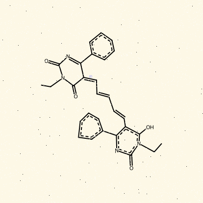 CCN1C(=O)N=C(c2ccccc2)/C(=C/C=CC=Cc2c(-c3ccccc3)nc(=O)n(CC)c2O)C1=O